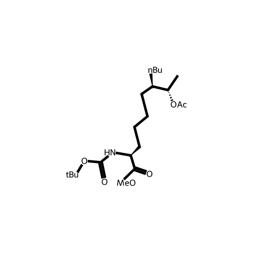 CCCC[C@H](CCCC[C@H](NC(=O)OC(C)(C)C)C(=O)OC)[C@H](C)OC(C)=O